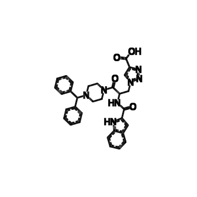 O=C(O)c1cn(CC(NC(=O)c2cc3ccccc3[nH]2)C(=O)N2CCN(C(c3ccccc3)c3ccccc3)CC2)nn1